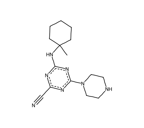 CC1(Nc2nc(C#N)nc(N3CCNCC3)n2)CCCCC1